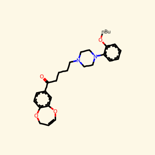 CCCCOc1ccccc1N1CCN(CCCCC(=O)c2ccc3c(c2)OC=CCO3)CC1